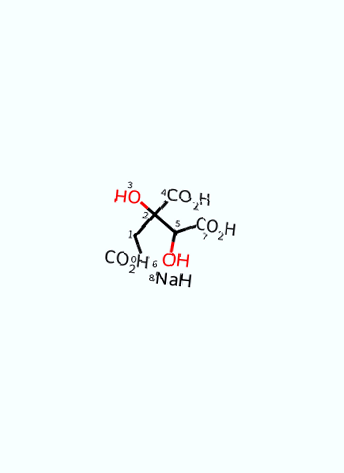 O=C(O)CC(O)(C(=O)O)C(O)C(=O)O.[NaH]